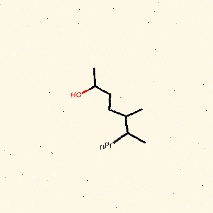 CCCC(C)C(C)CCC(C)O